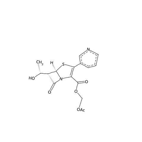 CC(=O)OCOC(=O)C1=C(c2cccnc2)S[C@@H]2[C@@H]([C@@H](C)O)C(=O)N12